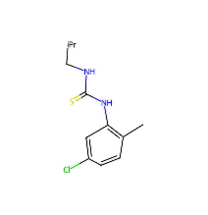 Cc1ccc(Cl)cc1NC(=S)NCC(C)C